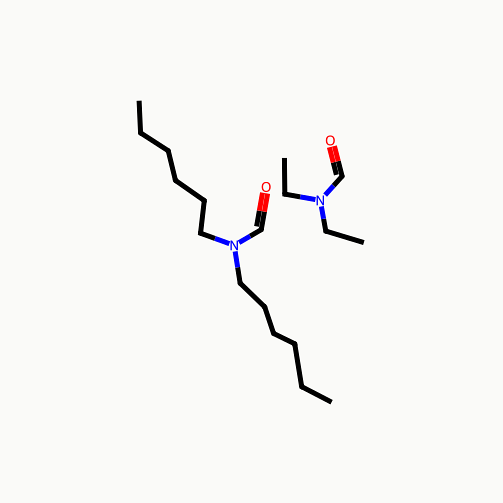 CCCCCCN(C=O)CCCCCC.CCN(C=O)CC